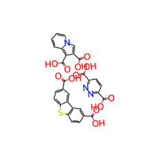 O=C(O)c1ccc(C(=O)O)nn1.O=C(O)c1ccc2sc3ccc(C(=O)O)cc3c2c1.O=C(O)c1cn2ccccc2c1C(=O)O